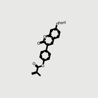 C=C(C)C(=O)Oc1ccc(-c2cc3ccc(CCCCC)cc3oc2=O)cc1